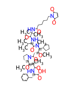 CO[C@H]([C@@H](C)C(=O)N[C@@H](Cc1ccccc1)C(=O)O)[C@@H]1CCCN1C(=O)C[C@@H](OC)[C@H](C1CCCC1)N(C)C(=O)[C@@H](NC(=O)C(C)(C)NC(=O)CCCCCN1C(=O)C=CC1=O)C(C)C